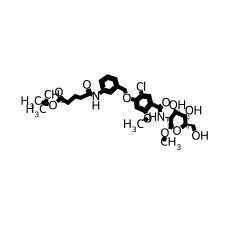 COc1cc(OCc2cccc(NC(=O)CCCC(=O)OC(C)(C)C)c2)c(Cl)cc1C(=O)N[C@H]1[C@@H](OC)O[C@H](CO)[C@@H](O)[C@@H]1O